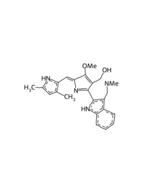 CNCc1c(C2=NC(=Cc3[nH]c(C)cc3C)C(OC)=C2CO)[nH]c2ccccc12